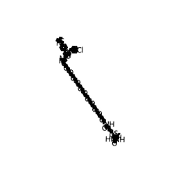 Cc1nc(C2CCC(N3C[C@H](c4cn(CCOCCOCCOCCOCCOCCOCCOCCOCCOCCOCCOCCNC(=O)CCCC[C@@H]5SC[C@@H]6NC(=O)N[C@@H]65)nn4)OC[C@@H]3Cc3ccc(Cl)cc3)CC2)sc1C